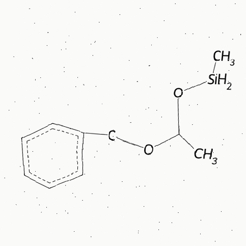 C[SiH2]OC(C)OCc1ccccc1